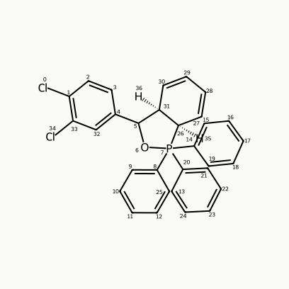 Clc1ccc(C2OP(c3ccccc3)(c3ccccc3)(c3ccccc3)[C@@H]3C=CC=C[C@H]23)cc1Cl